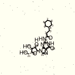 O=C(CCC1CCCCC1)Nc1nc2c(ncn2[C@@H]2O[C@H](CO)[C@@H](O)[C@H]2O)c(=O)[nH]1